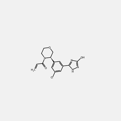 C=CC(=O)N1CCOC[C@H]1c1cc(Cl)cc(-c2nc(O)n[nH]2)c1